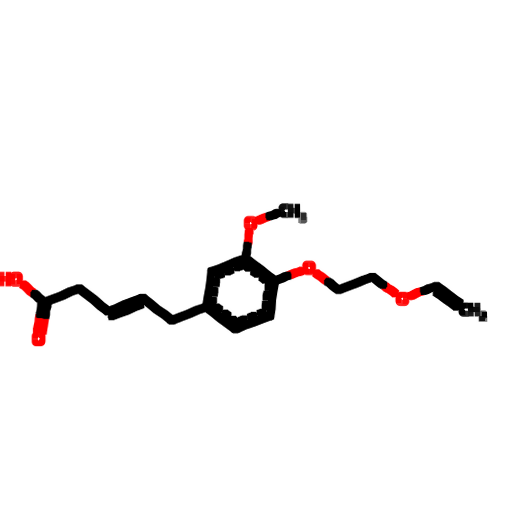 C=COCCOc1ccc(C/C=C/CC(=O)O)cc1OC